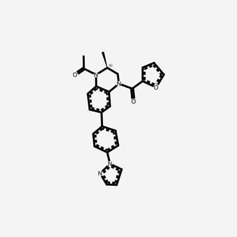 CC(=O)N1c2ccc(-c3ccc(-n4cccn4)cc3)cc2N(C(=O)c2ccco2)C[C@@H]1C